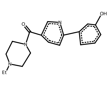 CCN1CCN(C(=O)c2ccc(-c3cccc(O)c3)nc2)CC1